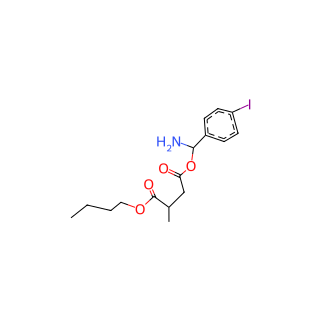 CCCCOC(=O)C(C)CC(=O)OC(N)c1ccc(I)cc1